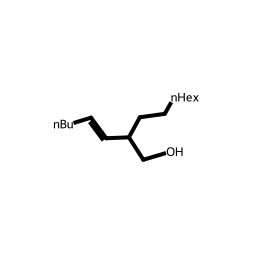 CCCC/C=C/C(CO)CCCCCCCC